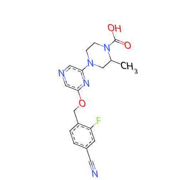 CC1CN(c2cncc(OCc3ccc(C#N)cc3F)n2)CCN1C(=O)O